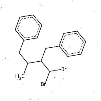 CC(Cc1ccccc1)C(Cc1ccccc1)C(Br)Br